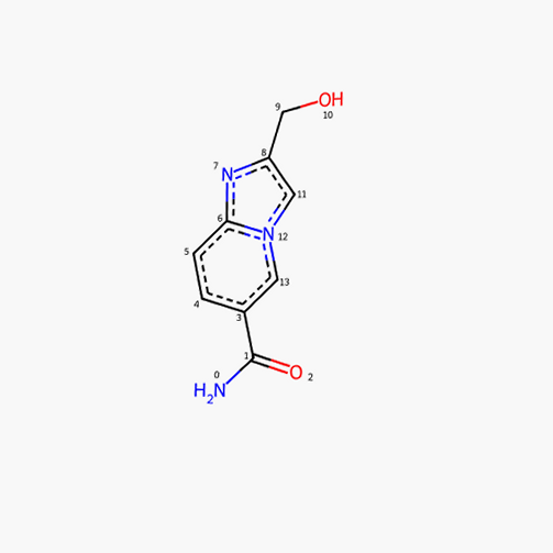 NC(=O)c1ccc2nc(CO)cn2c1